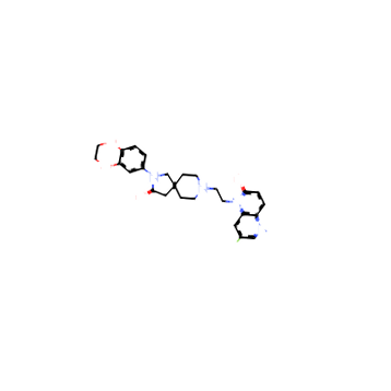 O=C1CC2(CCN(CCn3c(=O)ccc4ncc(F)cc43)CC2)CN1c1ccc2c(c1)OCCO2